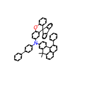 CC1(C)c2cc(N(c3ccc(-c4ccccc4)cc3)c3ccc4c(c3)C3(c5ccccc5O4)c4ccccc4-c4ccccc43)ccc2-c2c(-c3ccccc3)ccc3cccc1c23